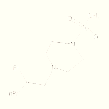 CCCC(CC)CN1CCN(S(C)(=O)=O)CC1